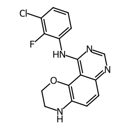 Fc1c(Cl)cccc1Nc1ncnc2ccc3c(c12)OCCN3